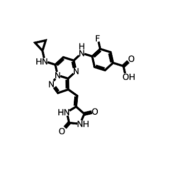 O=C1NC(=O)/C(=C/c2cnn3c(NC4CC4)cc(Nc4ccc(C(=O)O)cc4F)nc23)N1